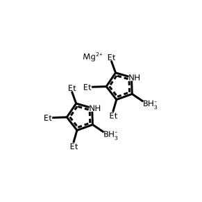 [BH3-]c1[nH]c(CC)c(CC)c1CC.[BH3-]c1[nH]c(CC)c(CC)c1CC.[Mg+2]